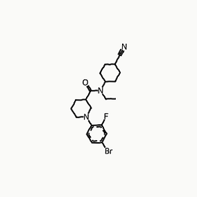 CCN(C(=O)C1CCCN(c2ccc(Br)cc2F)C1)C1CCC(C#N)CC1